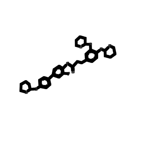 O=C(CCc1ccc(OC2CCCCO2)c(OC2CCCCO2)c1)Oc1ccc(-c2ccc(OC3CCCCO3)cc2)cc1F